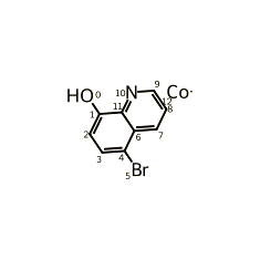 Oc1ccc(Br)c2cccnc12.[Co]